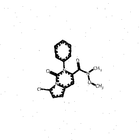 CON(C)C(=O)c1cc2ccc(Cl)n2c(=O)n1-c1ccccc1